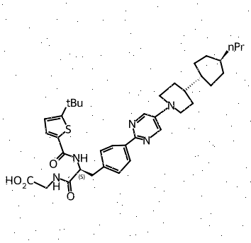 CCC[C@H]1CC[C@H](C2CCN(c3cnc(-c4ccc(C[C@H](NC(=O)c5ccc(C(C)(C)C)s5)C(=O)NCC(=O)O)cc4)nc3)CC2)CC1